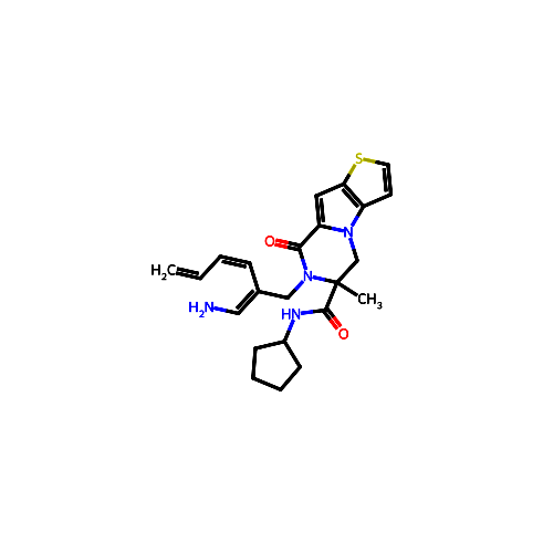 C=C/C=C\C(=C/N)CN1C(=O)c2cc3sccc3n2CC1(C)C(=O)NC1CCCC1